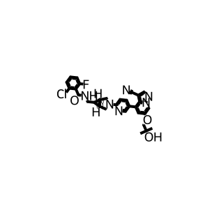 CC(C)(O)COc1cc(-c2ccc(N3C[C@@H]4C(CNC(=O)c5c(F)cccc5Cl)[C@@H]4C3)nc2)c2c(C#N)cnn2c1